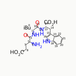 CC[C@H](C)[C@H](NC(=O)[C@@H](N)CCC(=O)O)C(=O)N[C@@H](Cc1c[nH]c2ccccc12)C(=O)O